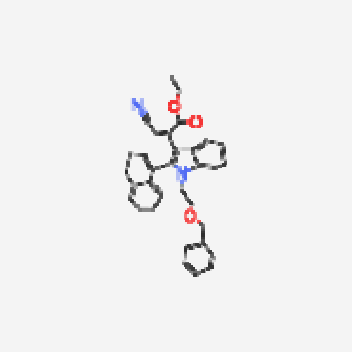 CCOC(=O)/C(=C\C#N)c1c(C2=CCCc3ccccc32)n(CCOCc2ccccc2)c2ccccc12